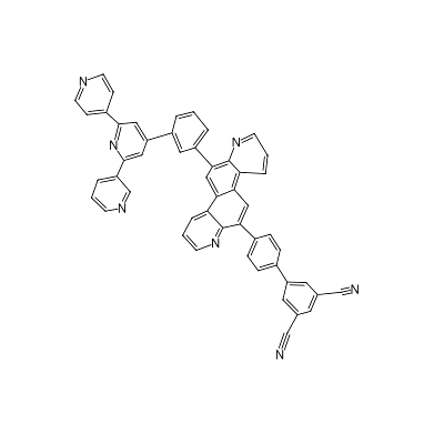 N#Cc1cc(C#N)cc(-c2ccc(-c3cc4c5cccnc5c(-c5cccc(-c6cc(-c7ccncc7)nc(-c7cccnc7)c6)c5)cc4c4cccnc34)cc2)c1